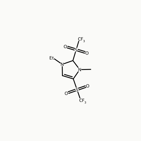 CCN1C=C(S(=O)(=O)C(F)(F)F)N(C)C1S(=O)(=O)C(F)(F)F